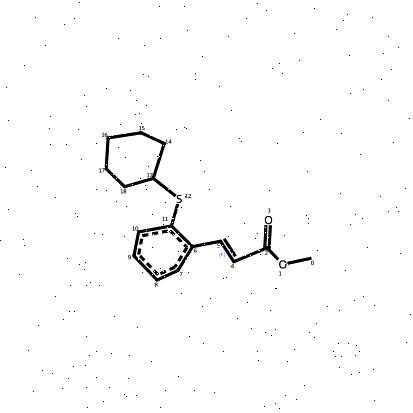 COC(=O)/C=C/c1ccccc1SC1CCCCC1